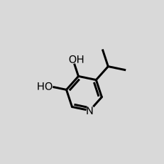 CC(C)c1cncc(O)c1O